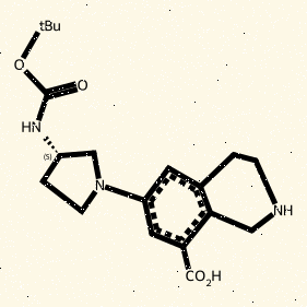 CC(C)(C)OC(=O)N[C@H]1CCN(c2cc3c(c(C(=O)O)c2)CNCC3)C1